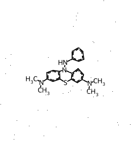 CN(C)c1ccc2c(c1)Sc1cc(N(C)C)ccc1N2Nc1ccccc1